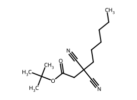 CCCCCCC(C#N)(C#N)CC(=O)OC(C)(C)C